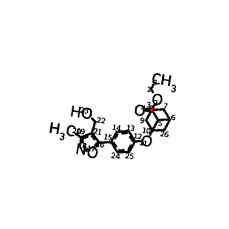 CCOC(=O)C1C2CCCC1(Oc1ccc(-c3onc(C)c3CO)cc1)C2